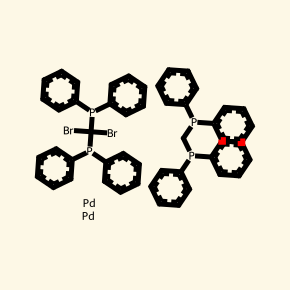 BrC(Br)(P(c1ccccc1)c1ccccc1)P(c1ccccc1)c1ccccc1.[Pd].[Pd].c1ccc(P(CP(c2ccccc2)c2ccccc2)c2ccccc2)cc1